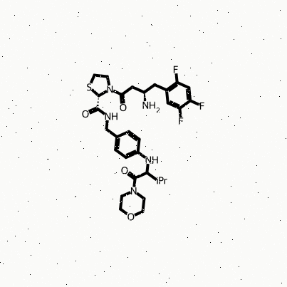 CC(C)C(Nc1ccc(CNC(=O)[C@@H]2SCCN2C(=O)C[C@H](N)Cc2cc(F)c(F)cc2F)cc1)C(=O)N1CCOCC1